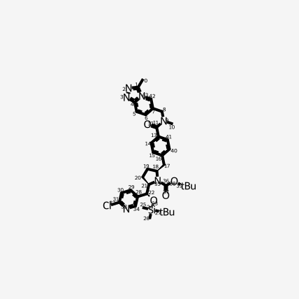 Cc1nnc2ccc(CN(C)C(=O)c3ccc(C[C@@H]4CC[C@H]([C@H](O[Si](C)(C)C(C)(C)C)c5ccc(Cl)nc5)N4C(=O)OC(C)(C)C)cc3)cn12